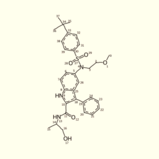 COCCN(c1ccc2[nH]c(C(=O)NC(C)CO)c(-c3ccccc3)c2c1)S(=O)(=O)c1ccc(C(C)(C)C)cc1